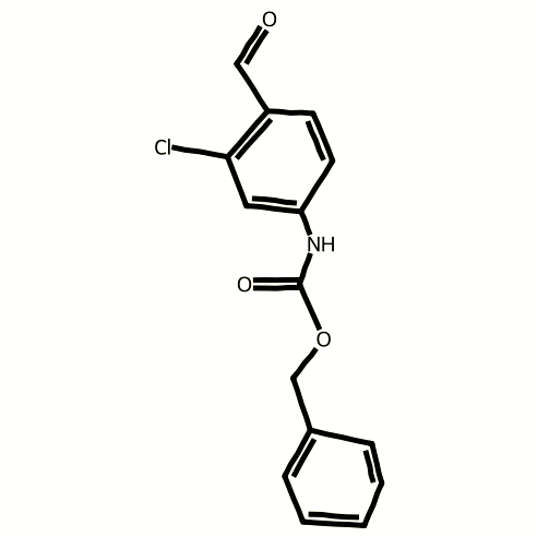 O=Cc1ccc(NC(=O)OCc2ccccc2)cc1Cl